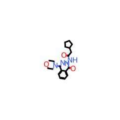 O=C(CC1CCCC1)Nn1nc(N2CCOCC2)c2ccccc2c1=O